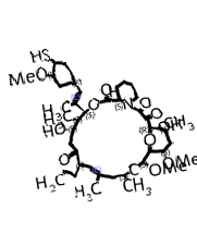 C=CC[C@@H]1/C=C(\C)C[C@H](C)C[C@H](OC)C2O[C@@](O)(C(=O)C(=O)N3CCCC[C@H]3C(=O)O[C@H](/C(C)=C/[C@@H]3CCC(S)[C@H](OC)C3)[C@H](C)[C@@H](O)CC1=O)[C@H](C)C[C@@H]2OC